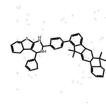 CC1(C)C2=CC3C4=CC=CCC4C(C)(C)C3CC2c2cccc(-c3ccc(C4NC5=C(C6CC=CC=C6S5)C(C5=CC=CCC5)N4)cc3)c21